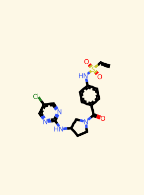 C=CS(=O)(=O)Nc1ccc(C(=O)N2CCC(Nc3ncc(Cl)cn3)C2)cc1